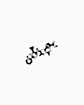 COC(=O)c1csc([C@@H](C[C@H](C(C)C)N(C)C(=O)[C@@H](NC(=O)[C@H]2CCCCN2C)C2CC2)OC(C)=O)n1